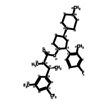 Cc1cc(F)ccc1[C@H]1C[C@H](N2CCN(C)CC2)CCN1OC(=O)N(C)[C@H](C)c1cc(C(F)(F)F)cc(C(F)(F)F)c1